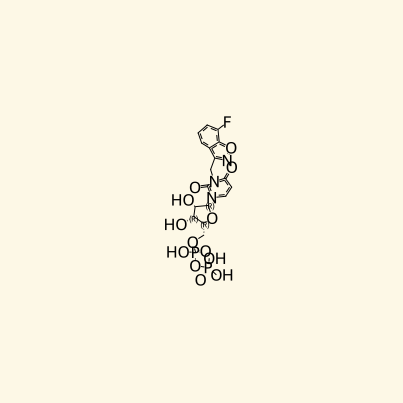 O=c1ccn([C@@H]2O[C@H](COP(=O)(O)OP(=O)(O)O)[C@H](O)C2O)c(=O)n1Cc1noc2c(F)cccc12